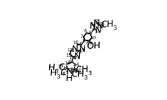 Cn1nnc(-c2ccc(-c3cn4ccc(C5=CC(C)(C)NC(C)(C)C5)nc4n3)c(O)c2)n1